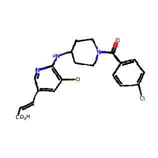 O=C(O)C=Cc1cnc(NC2CCN(C(=O)c3ccc(Cl)cc3)CC2)c(Cl)c1